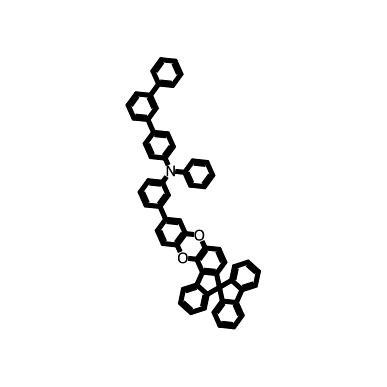 c1ccc(-c2cccc(-c3ccc(N(c4ccccc4)c4cccc(-c5ccc6c(c5)Oc5ccc7c(c5O6)-c5ccccc5C75c6ccccc6-c6ccccc65)c4)cc3)c2)cc1